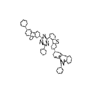 c1ccc(-c2ccc3oc4cc(-c5nc(-c6ccccc6)nc(-c6cccc7sc8cc(-c9ccc%10c(c9)c9ccccc9n%10-c9ccccc9)ccc8c67)n5)ccc4c3c2)cc1